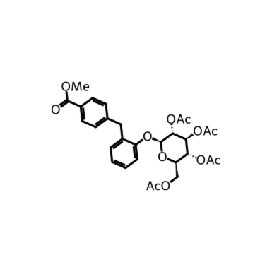 COC(=O)c1ccc(Cc2ccccc2O[C@@H]2O[C@H](COC(C)=O)[C@@H](OC(C)=O)[C@H](OC(C)=O)[C@H]2OC(C)=O)cc1